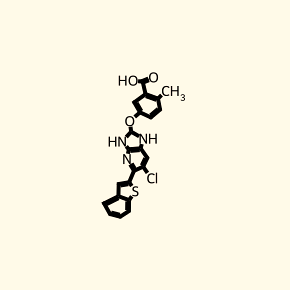 Cc1ccc(OC2Nc3cc(Cl)c(-c4cc5ccccc5s4)nc3N2)cc1C(=O)O